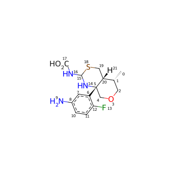 C[C@@H]1COC[C@]2(c3cc(N)ccc3F)NC(NC(=O)O)SC[C@H]12